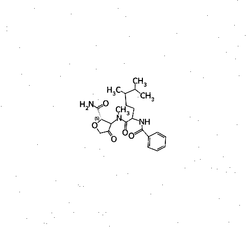 CC(C)C(C)CCC(NC(=O)c1ccccc1)C(=O)N(C)C1C(=O)CO[C@@H]1C(N)=O